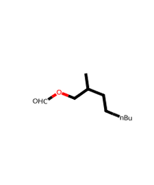 CCCCCCC(C)COC=O